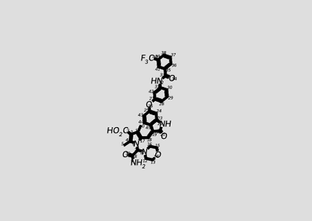 Cc1c(C(=O)O)c(C)n(C(C(N)=O)N2CCOCC2)c1C=C1C(=O)Nc2cc(Oc3cccc(NC(=O)c4cccc(C(F)(F)F)c4)c3)ccc21